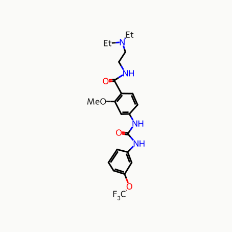 CCN(CC)CCNC(=O)c1ccc(NC(=O)Nc2cccc(OC(F)(F)F)c2)cc1OC